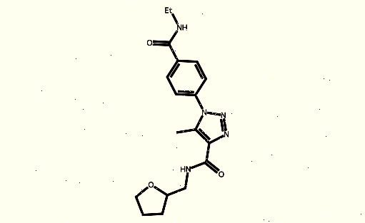 CCNC(=O)c1ccc(-n2nnc(C(=O)NCC3CCCO3)c2C)cc1